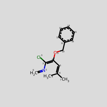 C=N/C(Cl)=C(\C=C(C)C)OCc1ccccc1